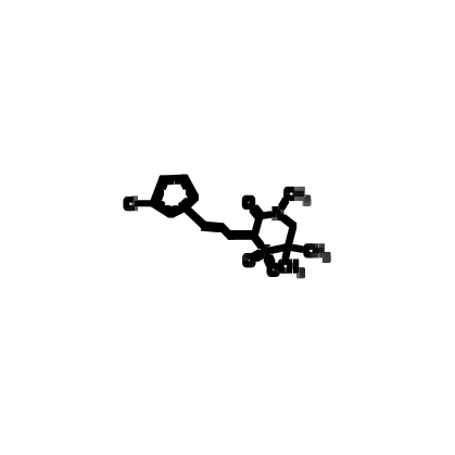 CN1CC(C)(C)S(=O)(=O)/C(=C/C=C/c2cccc(Cl)c2)C1=O